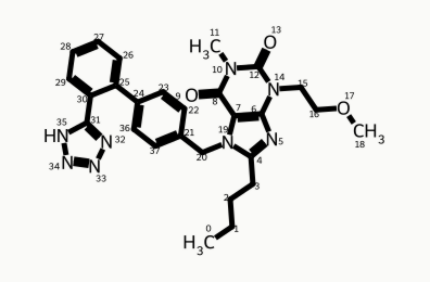 CCCCc1nc2c(c(=O)n(C)c(=O)n2CCOC)n1Cc1ccc(-c2ccccc2-c2nnn[nH]2)cc1